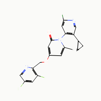 Cc1cc(OCc2ncc(F)cc2F)cc(=O)n1-c1cc(Cl)ncc1C1CC1